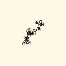 O=CC(F)(F)CC(C(=O)NCc1ccc2c(c1)CN(C1CCC(=O)NC1=O)C2=O)N1CCC(n2cc(-c3cnc4cccc(Br)c4n3)cn2)CC1